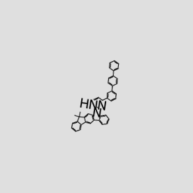 CC1(C)c2ccccc2-c2cc3c4ccccc4n(C4N=C(c5cccc(-c6ccc(-c7ccccc7)cc6)c5)C=CN4)c3cc21